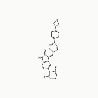 O=C1Nc2ccc(-c3c(F)cccc3F)cc2C1=Cc1ccc(N2CCN(C3COC3)CC2)nc1